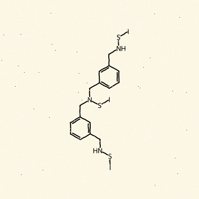 ISNCc1cccc(CN(Cc2cccc(CNSI)c2)SI)c1